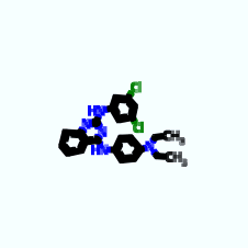 CCN(CC)c1ccc(Nc2nc(Nc3cc(Cl)cc(Cl)c3)nc3ccccc23)cc1